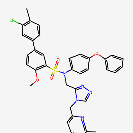 COc1ccc(-c2ccc(C)c(Cl)c2)cc1S(=O)(=O)N(Cc1nncn1Cc1cccc(C)n1)c1ccc(Oc2ccccc2)cc1